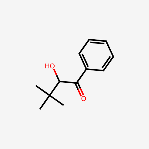 CC(C)(C)C(O)C(=O)c1ccccc1